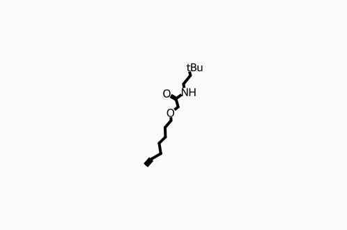 C#CCCCCCOCC(=O)NCCC(C)(C)C